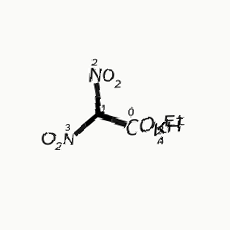 CCOC(=O)C([N+](=O)[O-])[N+](=O)[O-].[KH]